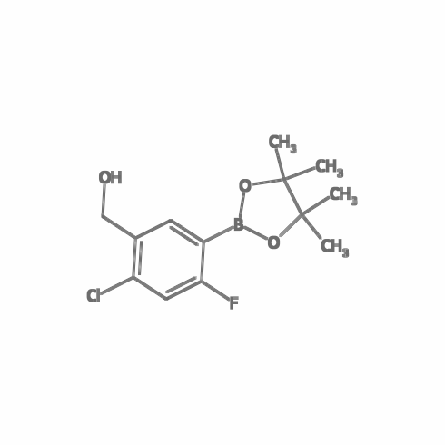 CC1(C)OB(c2cc(CO)c(Cl)cc2F)OC1(C)C